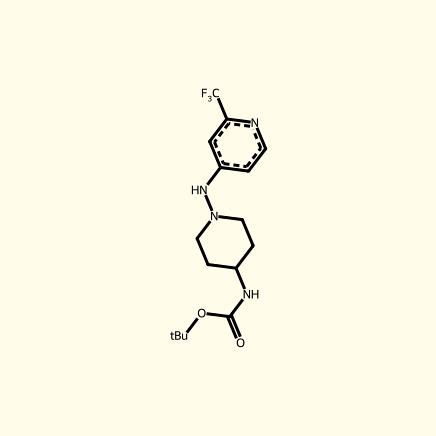 CC(C)(C)OC(=O)NC1CCN(Nc2ccnc(C(F)(F)F)c2)CC1